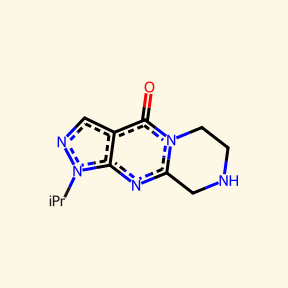 CC(C)n1ncc2c(=O)n3c(nc21)CNCC3